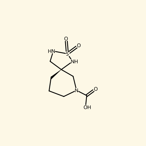 O=C(O)N1CCC[C@]2(CNS(=O)(=O)N2)C1